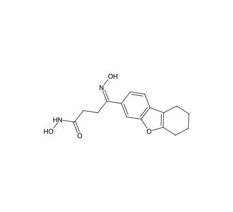 O=C(CC/C(=N/O)c1ccc2c3c(oc2c1)CCCC3)NO